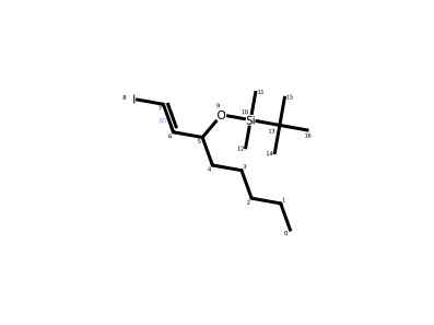 CCCCCC(/C=C/I)O[Si](C)(C)C(C)(C)C